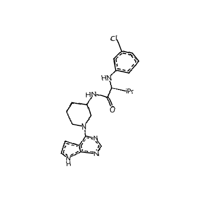 CC(C)C(Nc1cccc(Cl)c1)C(=O)NC1CCCN(c2ncnc3[nH]ccc23)C1